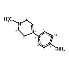 CN1CC=C(c2ccc(N)cc2)CC1